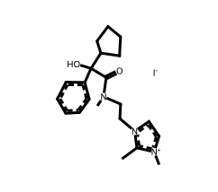 Cc1n(CCN(C)C(=O)C(O)(c2ccccc2)C2CCCC2)cc[n+]1C.[I-]